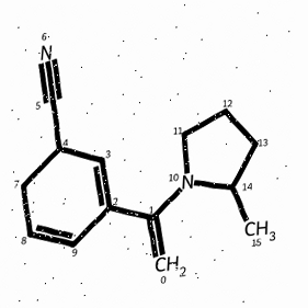 C=C(C1=CC(C#N)CC=C1)N1CCCC1C